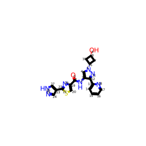 O=C(Nc1cn([C@H]2C[C@@H](O)C2)nc1-c1ccccn1)c1csc(-c2cn[nH]c2)n1